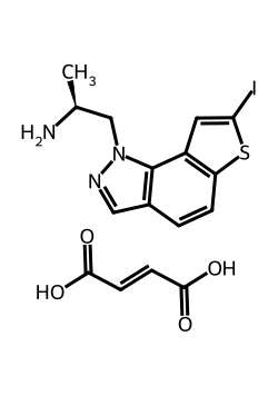 C[C@H](N)Cn1ncc2ccc3sc(I)cc3c21.O=C(O)C=CC(=O)O